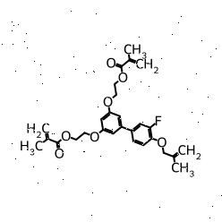 C=C(C)COc1ccc(-c2cc(OCCOC(=O)C(=C)C)cc(OCCOC(=O)C(=C)C)c2)cc1F